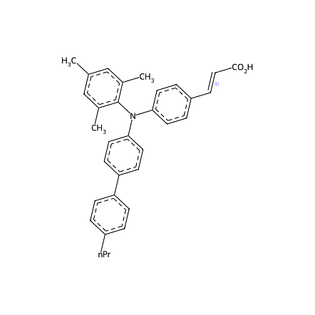 CCCc1ccc(-c2ccc(N(c3ccc(/C=C/C(=O)O)cc3)c3c(C)cc(C)cc3C)cc2)cc1